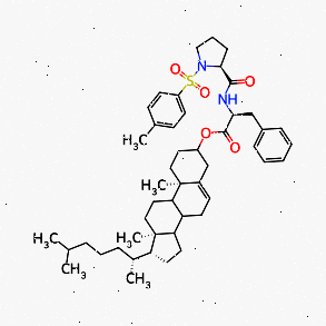 Cc1ccc(S(=O)(=O)N2CCC[C@H]2C(=O)N[C@@H](Cc2ccccc2)C(=O)OC2CC[C@@]3(C)C(=CCC4C3CC[C@@]3(C)C4CC[C@@H]3[C@H](C)CCCC(C)C)C2)cc1